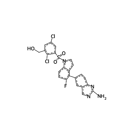 Nc1ncc2cc(-c3c(F)ccc4c3ccn4S(=O)(=O)c3cc(Cl)cc(CO)c3Cl)ccc2n1